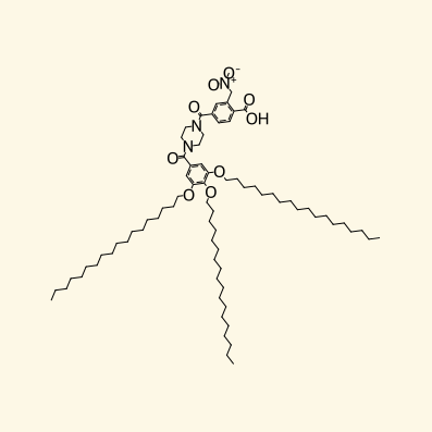 CCCCCCCCCCCCCCCCCCOc1cc(C(=O)N2CCN(C(=O)c3ccc(C(=O)O)c(C[N+](=O)[O-])c3)CC2)cc(OCCCCCCCCCCCCCCCCCC)c1OCCCCCCCCCCCCCCCCCC